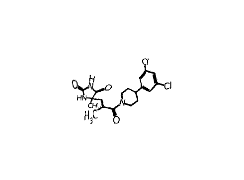 CC(CC1(C)NC(=O)NC1=O)C(=O)N1CCC(c2cc(Cl)cc(Cl)c2)CC1